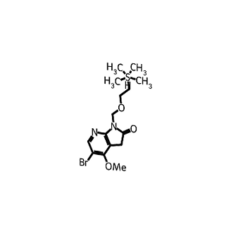 COc1c(Br)cnc2c1CC(=O)N2COCC[SH](C)(C)(C)C